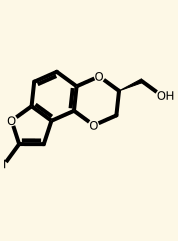 OC[C@H]1COc2c(ccc3oc(I)cc23)O1